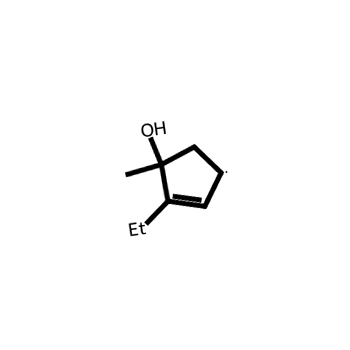 CCC1=C[CH]CC1(C)O